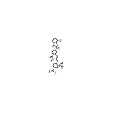 COC(=O)c1ccc(/C=C2/Sc3cc(S(=O)(=O)Cc4c(Br)cccc4Br)ccc3NC2=O)c([N+](=O)[O-])c1